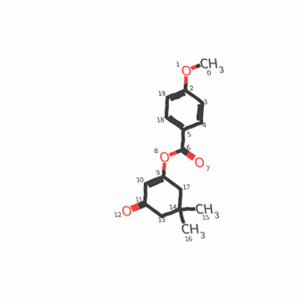 COc1ccc(C(=O)OC2=CC(=O)CC(C)(C)C2)cc1